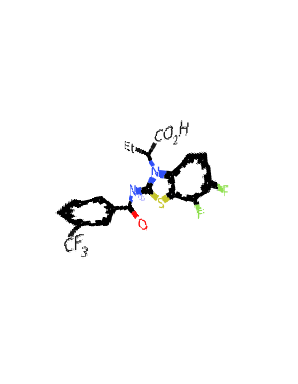 CCC(C(=O)O)n1/c(=N/C(=O)c2cccc(C(F)(F)F)c2)sc2c(F)c(F)ccc21